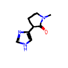 CN1CCC(c2c[nH]cn2)C1=O